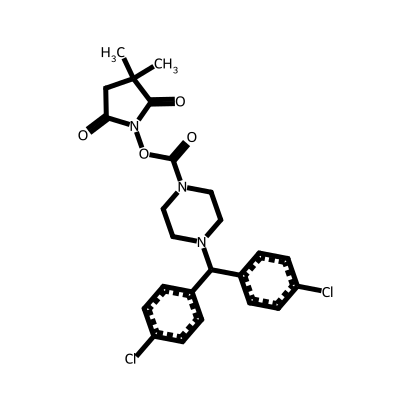 CC1(C)CC(=O)N(OC(=O)N2CCN(C(c3ccc(Cl)cc3)c3ccc(Cl)cc3)CC2)C1=O